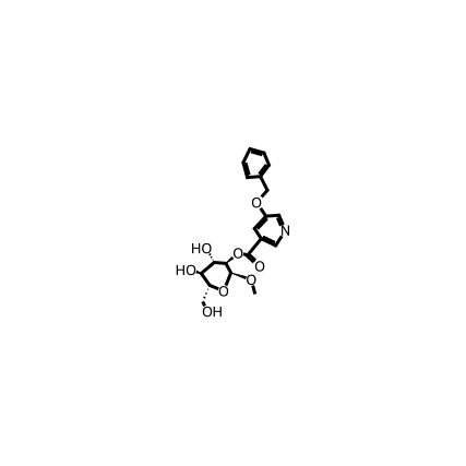 CO[C@H]1O[C@H](CO)[C@@H](O)[C@H](O)[C@H]1OC(=O)c1cncc(OCc2ccccc2)c1